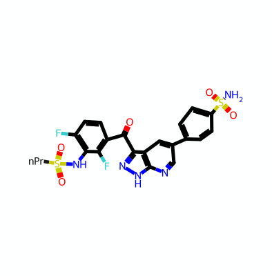 CCCS(=O)(=O)Nc1c(F)ccc(C(=O)c2n[nH]c3ncc(-c4ccc(S(N)(=O)=O)cc4)cc23)c1F